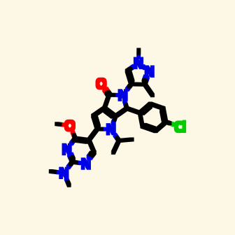 COc1nc(N(C)C)ncc1-c1cc2c(n1C(C)C)C(c1ccc(Cl)cc1)N(c1cn(C)nc1C)C2=O